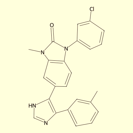 Cc1cccc(-c2nc[nH]c2-c2ccc3c(c2)n(C)c(=O)n3-c2cccc(Cl)c2)c1